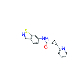 O=C(Nc1ccc2cnsc2c1)[C@@H]1CC1c1ccccn1